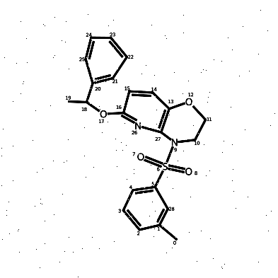 Cc1cccc(S(=O)(=O)N2CCOc3ccc(OC(C)c4ccccc4)nc32)c1